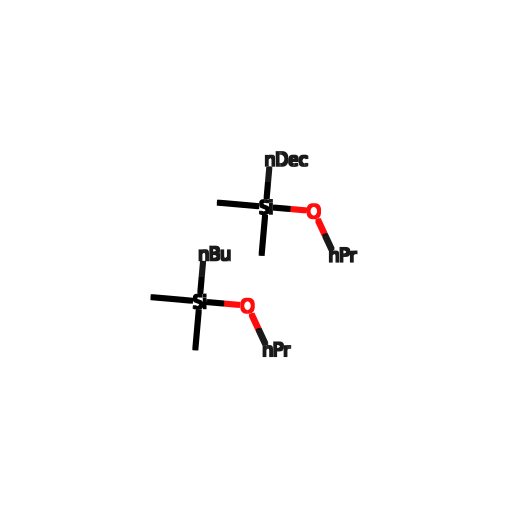 CCCCCCCCCC[Si](C)(C)OCCC.CCCC[Si](C)(C)OCCC